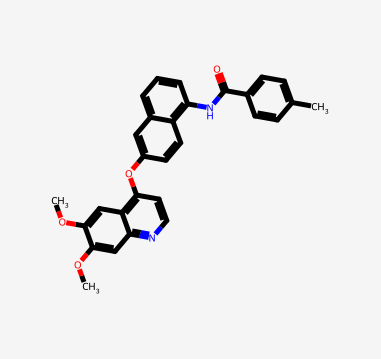 COc1cc2nccc(Oc3ccc4c(NC(=O)c5ccc(C)cc5)cccc4c3)c2cc1OC